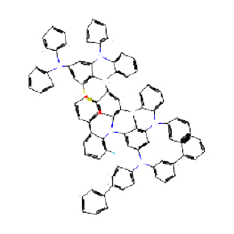 Fc1cccc(-c2ccccc2)c1N1c2cc3c(cc2B2c4ccccc4N(c4ccccc4)c4cc(N(c5ccc(-c6ccccc6)cc5)c5cccc(-c6ccccc6)c5)cc1c42)B1c2ccccc2N(c2ccccc2)c2cc(N(c4ccccc4)c4ccccc4)cc(c21)S3